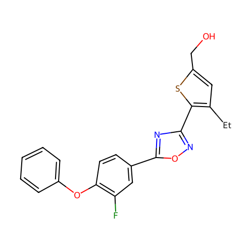 CCc1cc(CO)sc1-c1noc(-c2ccc(Oc3ccccc3)c(F)c2)n1